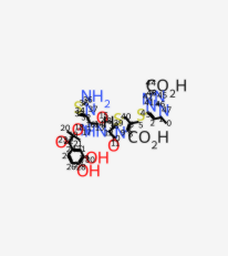 Cc1cc(SCC2=C(C(=O)O)N3C(=O)[C@@H](NC(=O)C(=NOC(C)(C)C(=O)c4ccc(O)c(O)c4)c4csc(N)n4)[C@H]3SC2)n2nc(C(=O)O)nc2n1